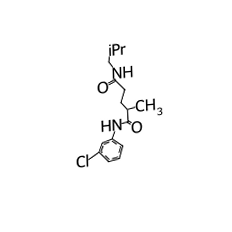 CC(C)CNC(=O)CCC(C)C(=O)Nc1cccc(Cl)c1